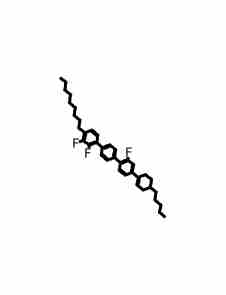 CCCCCCCCCc1ccc(-c2ccc(-c3ccc(C4=CCC(CCCCC)CC4)cc3F)cc2)c(F)c1F